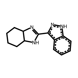 c1ccc2c(C3=NC4CCCCC4N3)n[nH]c2c1